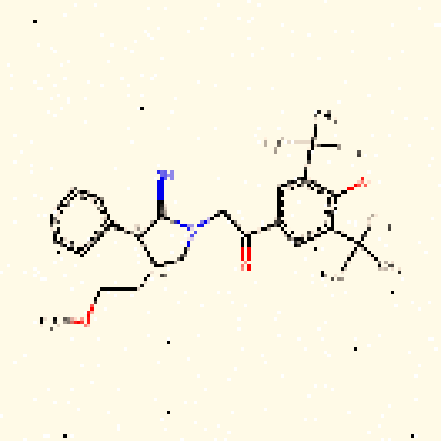 COCC[C@H]1CN(CC(=O)c2cc(C(C)(C)C)c(O)c(C(C)(C)C)c2)C(=N)[C@@H]1c1ccccc1